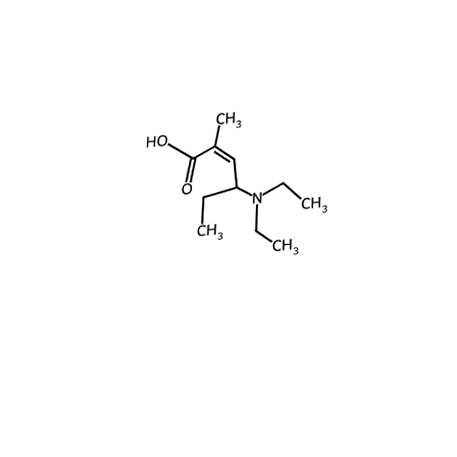 CCC(C=C(C)C(=O)O)N(CC)CC